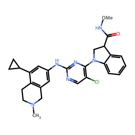 CONC(=O)C1CN(c2nc(Nc3cc4c(c(C5CC5)c3)CCN(C)C4)ncc2Cl)c2ccccc21